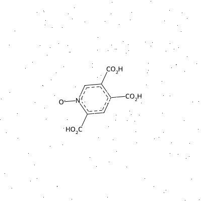 O=C(O)c1cc(C(=O)O)[n+]([O-])cc1C(=O)O